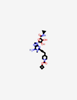 CN1C(C#CCC2CCN(C(=O)OC3CCC3)CC2)=Nc2c(ncn2[C@@H]2O[C@H](C(=O)NC3CC3)C(O)C2O)C1N